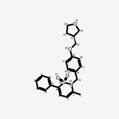 CC1=CC=C(c2ccccc2)S(=O)(=O)N1Cc1ccc(OC[C@H]2CCOC2)cc1